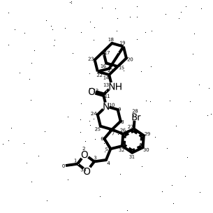 CC1OC(CC2CC3(CCN(C(=O)NC4C5CC6CC(C5)CC4C6)CC3)c3c(Br)cccc32)O1